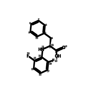 O=C(O)[C@H](Cc1ccccc1)Nc1c(F)cccc1F